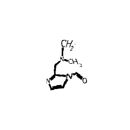 [CH2]N(C)Cc1nccn1C=O